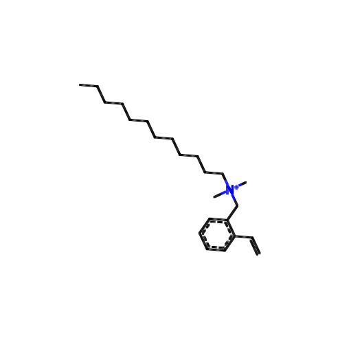 C=Cc1ccccc1C[N+](C)(C)CCCCCCCCCCCC